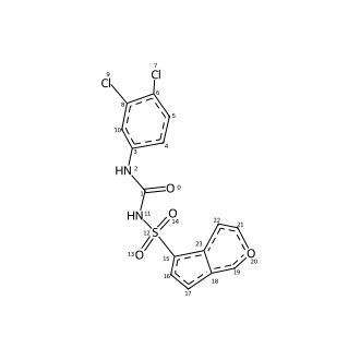 O=C(Nc1ccc(Cl)c(Cl)c1)NS(=O)(=O)c1ccc2coccc1-2